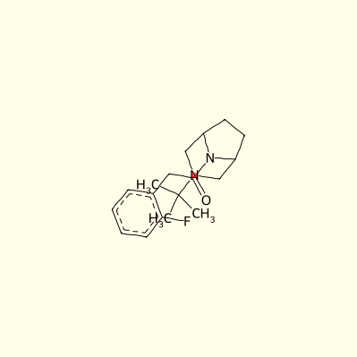 CC(C)(C)N1CC2CCC(C1)N2C(=O)Cc1ccccc1F